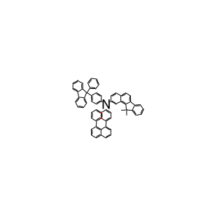 CC1(C)c2ccccc2-c2ccc3ccc(N(c4ccc(-c5cccc6cccc(-c7ccccc7)c56)cc4)c4ccc(C5(c6ccccc6)c6ccccc6-c6ccccc65)cc4)cc3c21